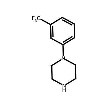 FC(F)(F)c1cccc(N2[CH]CNCC2)c1